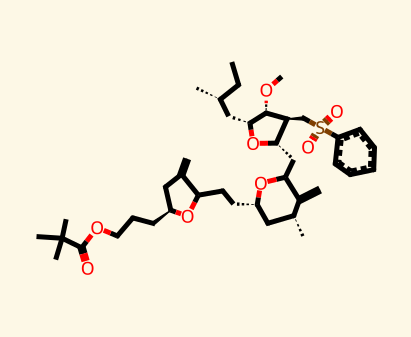 C=C1C[C@H](CCCOC(=O)C(C)(C)C)OC1CC[C@H]1C[C@@H](C)C(=C)C(C[C@@H]2O[C@H](C[C@H](C)CC)[C@H](OC)[C@H]2CS(=O)(=O)c2ccccc2)O1